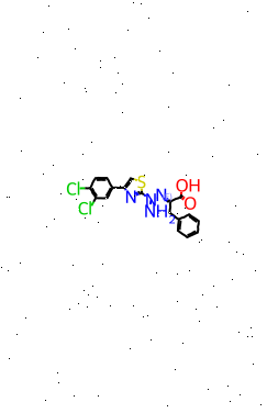 NN(/N=C(\Cc1ccccc1)C(=O)O)c1nc(-c2ccc(Cl)c(Cl)c2)cs1